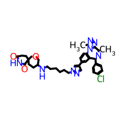 Cc1nnc2n1-c1ccc(-c3cnn(CCCCCCNC4CCC5(CCC(=O)NC5=O)COC4)c3)cc1C(c1ccc(Cl)cc1)=N[C@H]2C